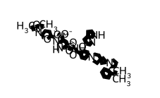 CCS(=O)(CC)=NC1CCC(CNc2ncc(S(=O)(=O)NC(=O)c3ccc(N4CCC5(CC4)CC(N4CCC[C@H]4c4ccccc4C(C)C)C5)cc3Oc3cnc4[nH]ccc4c3)cc2[N+](=O)[O-])OC1